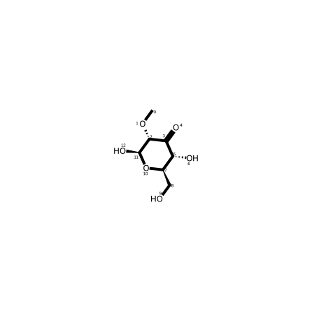 CO[C@@H]1C(=O)[C@H](O)[C@@H](CO)O[C@H]1O